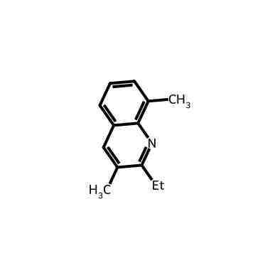 CCc1nc2c(C)cccc2cc1C